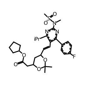 CC(C)c1nc(N(C)S(C)(=O)=O)nc(-c2ccc(F)cc2)c1C=CC1CC(CC(=O)OC2CCCC2)OC(C)(C)O1